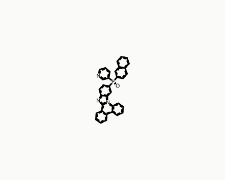 O=P(c1cccnc1)(c1ccc2ccccc2c1)c1ccc2nc3c4ccccc4c4ccccc4n3c2c1